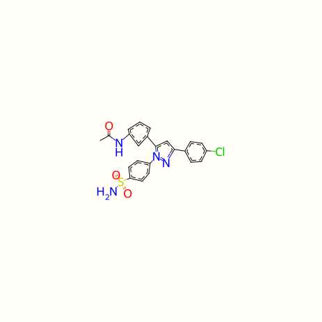 CC(=O)Nc1cccc(-c2cc(-c3ccc(Cl)cc3)nn2-c2ccc(S(N)(=O)=O)cc2)c1